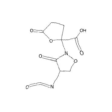 O=C=NC1CON(C2(C(=O)O)CCC(=O)O2)C1=O